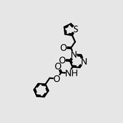 O=C(Nc1cncn(C(=O)Cc2cccs2)c1=O)OCc1ccccc1